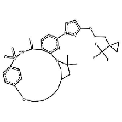 CC1(C)CC2CCCCOc3ccc(cc3)S(=O)(=O)NC(=O)c3ccc(-n4ccc(OCCC5(C(F)(F)F)CC5)n4)nc3N1C2